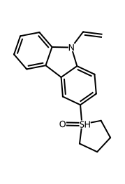 C=Cn1c2ccccc2c2cc([SH]3(=O)CCCC3)ccc21